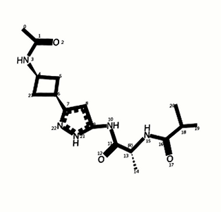 CC(=O)N[C@H]1C[C@@H](c2cc(NC(=O)[C@@H](C)NC(=O)C(C)C)[nH]n2)C1